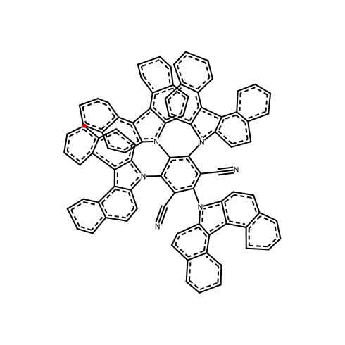 N#Cc1c(-n2c3ccc4ccccc4c3c3c4ccccc4ccc32)c(C#N)c(-n2c3ccc4ccccc4c3c3c4ccccc4ccc32)c(-n2c3ccc4ccccc4c3c3c4ccccc4ccc32)c1-n1c2ccc3ccccc3c2c2c3ccccc3ccc21